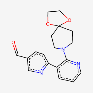 O=Cc1ccc(-c2cccnc2N2CCC3(CC2)OCCO3)nc1